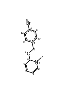 CN1C=CC=CC1OCc1ccc(Br)cc1